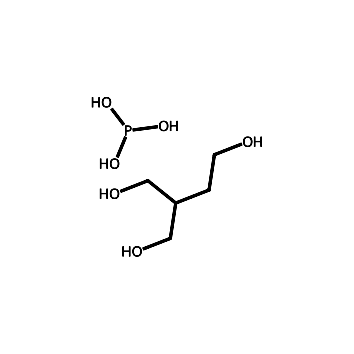 OCCC(CO)CO.OP(O)O